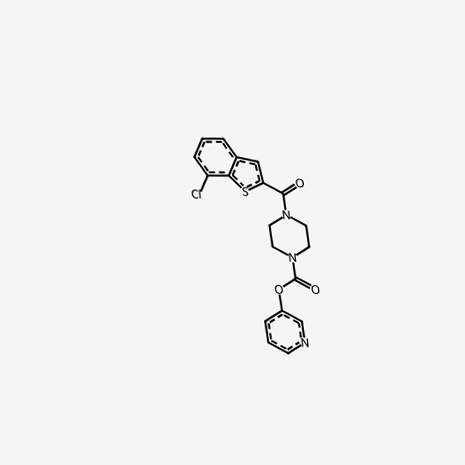 O=C(Oc1cccnc1)N1CCN(C(=O)c2cc3cccc(Cl)c3s2)CC1